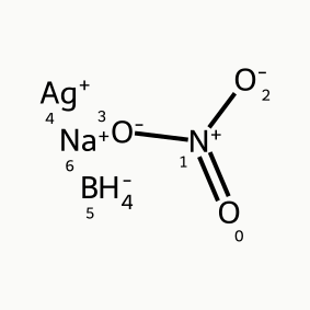 O=[N+]([O-])[O-].[Ag+].[BH4-].[Na+]